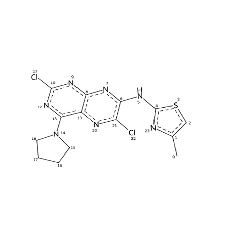 Cc1csc(Nc2nc3nc(Cl)nc(N4CCCC4)c3nc2Cl)n1